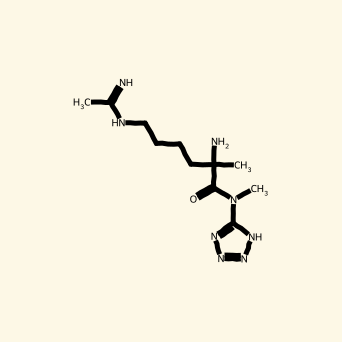 CC(=N)NCCCCC(C)(N)C(=O)N(C)c1nnn[nH]1